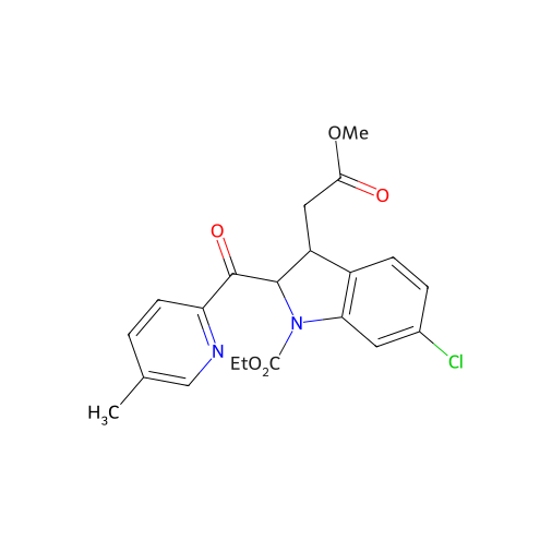 CCOC(=O)N1c2cc(Cl)ccc2C(CC(=O)OC)C1C(=O)c1ccc(C)cn1